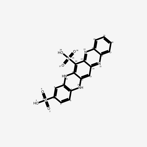 O=S(=O)(O)c1ccc2c(c1)Nc1c(cc3nc4ccccc4nc3c1S(=O)(=O)O)N2